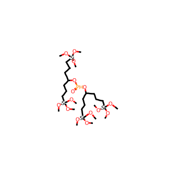 CO[Si](CCCC(CCC[Si](OC)(OC)OC)O[PH](=O)OC(CCC[Si](OC)(OC)OC)CCC[Si](OC)(OC)OC)(OC)OC